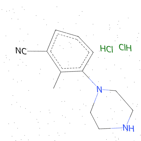 Cc1c(C#N)cccc1N1CCNCC1.Cl.Cl